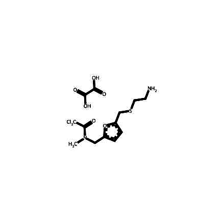 CN(Cc1ccc(CSCCN)o1)C(=O)C(Cl)(Cl)Cl.O=C(O)C(=O)O